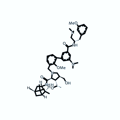 COc1cccc(C[C@@H](CN(C)C)NC(=O)c2cc(-c3cccc(CN4C[C@@H](CO)[C@H]([C@H](C)O)[C@H]4C(=O)N[C@H]4C[C@H]5C[C@@H]([C@@H]4C)C5(C)C)c3OC)cc(N(C)C)c2)c1